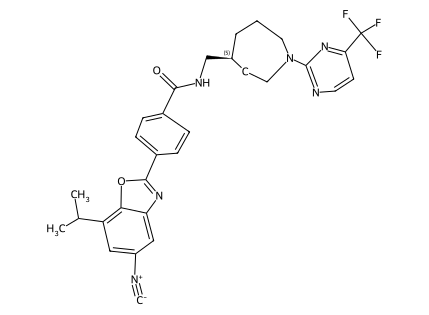 [C-]#[N+]c1cc(C(C)C)c2oc(-c3ccc(C(=O)NC[C@H]4CCCN(c5nccc(C(F)(F)F)n5)CC4)cc3)nc2c1